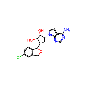 Nc1ncnc2c1ccn2[C@@H]1C[C@H]([C@H]2OCc3cc(Cl)ccc32)[C@@H](O)[C@H]1O